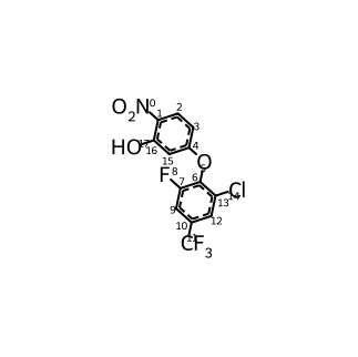 O=[N+]([O-])c1ccc(Oc2c(F)cc(C(F)(F)F)cc2Cl)cc1O